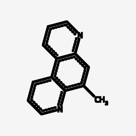 Cc1cc2ncccc2c2cccnc12